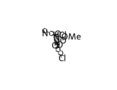 COC(=O)CC1CN(S(=O)(=O)c2ccc3cc(Cl)ccc3c2)CCN1C(=O)c1ccc(-c2ccccn2)cc1.Cl